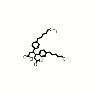 CCCCCCc1ccc(C(CC(=O)Cl)C(CC(=O)Cl)c2ccc(CCCCCC)cc2)cc1